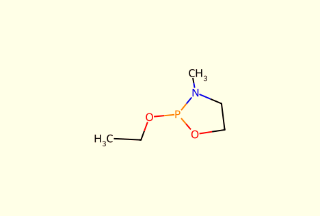 CCOP1OCCN1C